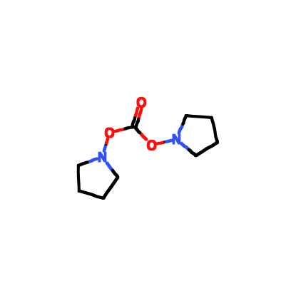 O=C(ON1CCCC1)ON1CCCC1